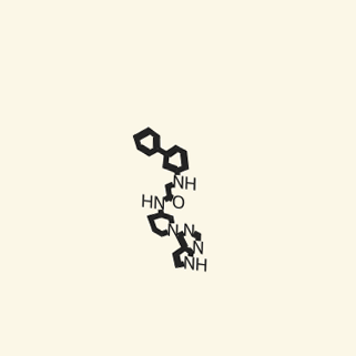 O=C(CNc1cccc(-c2ccccc2)c1)NC1CCCN(c2ncnc3[nH]ccc23)C1